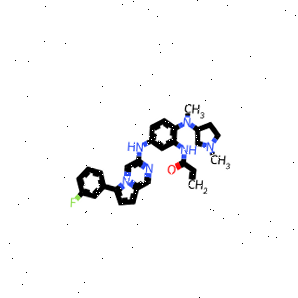 C=CC(=O)Nc1cc(Nc2cn3c(-c4cccc(F)c4)ccc3cn2)ccc1N(C)C1CCN(C)C1